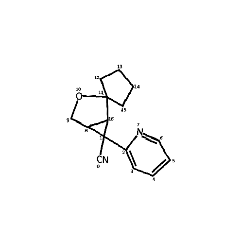 N#CC1(c2ccccn2)C2COC3(CCCC3)C21